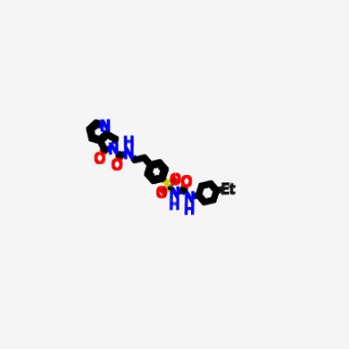 CCC1CCC(NC(=O)NS(=O)(=O)c2ccc(CCNC(=O)N3Cc4ncccc4C3=O)cc2)CC1